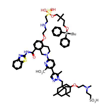 Cc1c(-c2ccc(N3CCc4c(OCCNCC[SH2](O)(O)OCC(C)(C)CCO[Si](c5ccccc5)(c5ccccc5)C(C)(C)C)ccc(C(=O)Nc5nc6ccccc6s5)c4C3)nc2C(=O)O)cnn1CC12CC3(C)CC(C)(C1)CC(OCCN(C)CCS(=O)(=O)O)(C3)C2